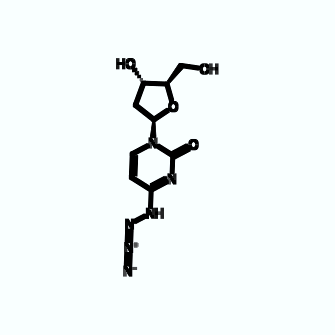 [N-]=[N+]=NNc1ccn([C@H]2C[C@H](O)[C@@H](CO)O2)c(=O)n1